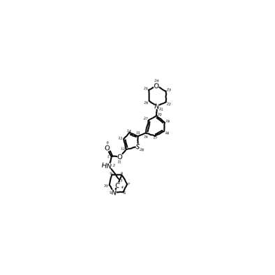 O=C(NC1CN2CCC1CC2)Oc1ccc(-c2cccc(N3CCOCC3)c2)s1